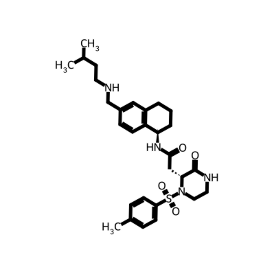 Cc1ccc(S(=O)(=O)N2CCNC(=O)[C@H]2CC(=O)N[C@@H]2CCCc3cc(CNCCC(C)C)ccc32)cc1